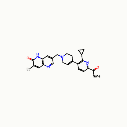 CCc1cc2ncc(CN3CC=C(c4ccc(C(=O)NC)nc4C4CC4)CC3)cc2[nH]c1=O